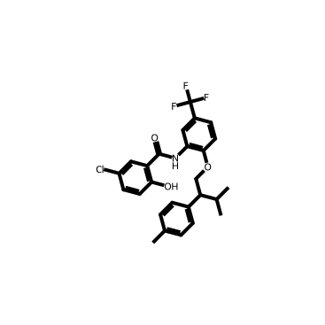 Cc1ccc(C(COc2ccc(C(F)(F)F)cc2NC(=O)c2cc(Cl)ccc2O)C(C)C)cc1